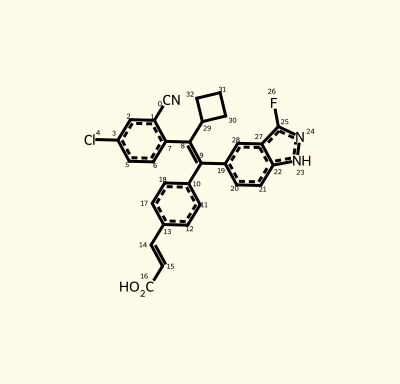 N#Cc1cc(Cl)ccc1C(=C(c1ccc(C=CC(=O)O)cc1)c1ccc2[nH]nc(F)c2c1)C1CCC1